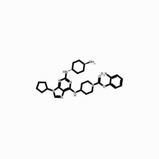 N[C@H]1CC[C@H](Nc2nc(NC3CCN(C(=O)Oc4ccccc4[N+](=O)[O-])CC3)c3ncn(C4CCCC4)c3n2)CC1